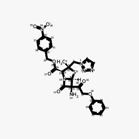 C[C@@]1(Cn2ccnn2)S[C@@H]2N(C(=O)[C@@]2(N)C(=O)COc2ccccc2)[C@H]1C(=O)OCc1ccc([N+](=O)[O-])cc1